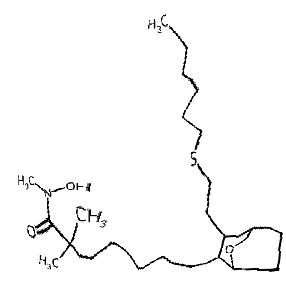 CCCCCCSCCC1C2CCC(O2)C1CCCCCC(C)(C)C(=O)N(C)O